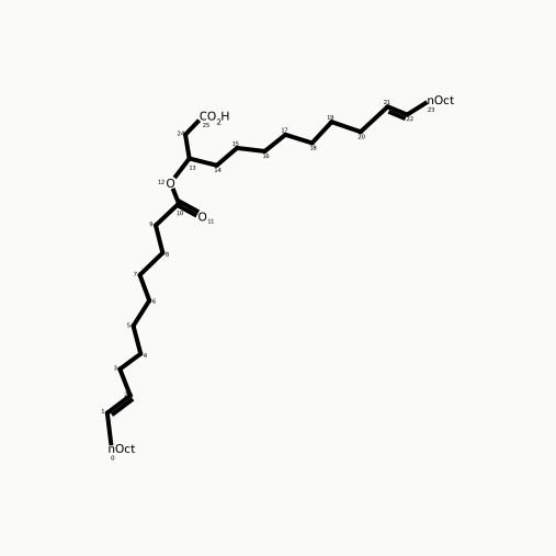 CCCCCCCC/C=C/CCCCCCCC(=O)OC(CCCCCCC/C=C/CCCCCCCC)CC(=O)O